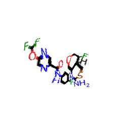 NC1=N[C@@]2(c3cc(NC(=O)c4cnc(OC(F)F)cn4)ccc3F)COC[C@@H](F)[C@H]2CS1